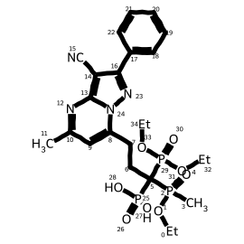 CCOP(C)(=O)C(CCc1cc(C)nc2c(C#N)c(-c3ccccc3)nn12)(P(=O)(O)O)P(=O)(OCC)OCC